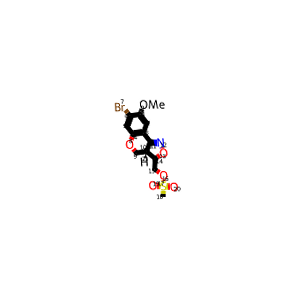 COc1cc2c(cc1Br)OC[C@H]1C2=NOC1COS(C)(=O)=O